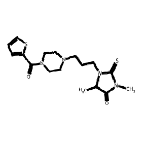 CC1C(=O)N(C)C(=S)N1CCCN1CCN(C(=O)c2cccs2)CC1